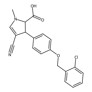 CN1C=C(C#N)C(c2ccc(OCc3ccccc3Cl)cc2)C1C(=O)O